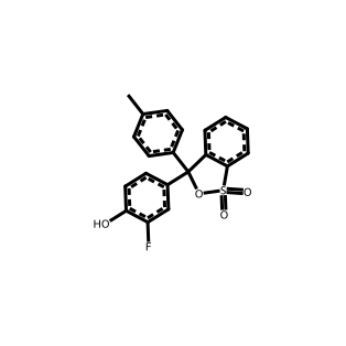 Cc1ccc(C2(c3ccc(O)c(F)c3)OS(=O)(=O)c3ccccc32)cc1